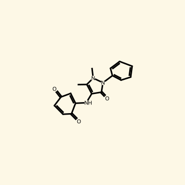 Cc1c(NC2=CC(=O)C=CC2=O)c(=O)n(-c2ccccc2)n1C